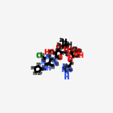 [2H]C([2H])([2H])OC[C@](COCc1nn[nH]n1)(OC[C@H]1O[C@@H](n2ncc3c(NC4CCCC4)nc(Cl)nc32)[C@H](O)[C@@H]1O)P(=O)(O)O